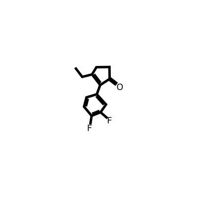 CCC1=C(c2ccc(F)c(F)c2)C(=O)CC1